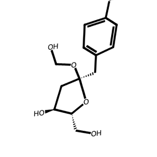 OCO[C@]1(Cc2ccc(Cl)cc2)C[C@H](O)[C@@H](CO)O1